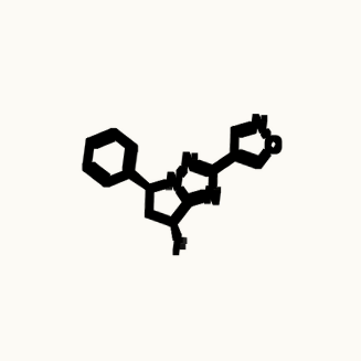 F[C@H]1C[C@@H](c2ccccc2)n2nc(-c3cnoc3)nc21